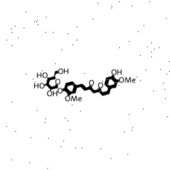 COc1cc(/C=C\C(=O)CC(=O)/C=C/c2ccc(O[C@@H]3O[C@H](CO)[C@@H](O)[C@H](O)[C@H]3O)c(OC)c2)ccc1O